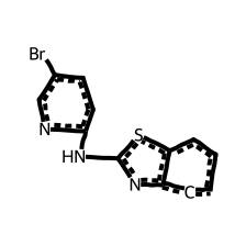 Brc1ccc(Nc2nc3ccccc3s2)nc1